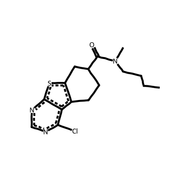 CCCCN(C)C(=O)C1CCc2c(sc3ncnc(Cl)c23)C1